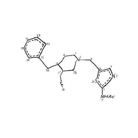 CC(=O)Nc1ncc(CN2CCC(Cc3ccccc3)C(F)C2)s1